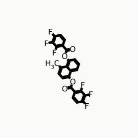 Cc1ccc(OC(=O)c2ccc(F)c(F)c2F)c2cccc(OC(=O)c3ccc(F)c(F)c3F)c12